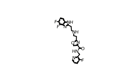 O=C(NCc1ncccc1F)c1coc(CCNCCc2nc3c(F)c(F)ccc3[nH]2)n1